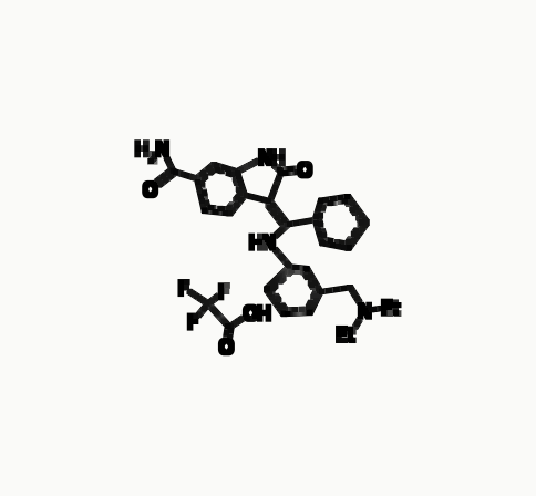 CCN(CC)Cc1cccc(NC(=C2C(=O)Nc3cc(C(N)=O)ccc32)c2ccccc2)c1.O=C(O)C(F)(F)F